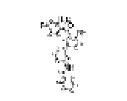 CO/C(=C1/C=C(c2ccnc(NCc3ccccc3)n2)C=CC1=N)c1ccc(F)cc1